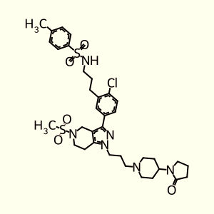 Cc1ccc(S(=O)(=O)NCCCc2cc(-c3nn(CCCN4CCC(N5CCCC5=O)CC4)c4c3CN(S(C)(=O)=O)CC4)ccc2Cl)cc1